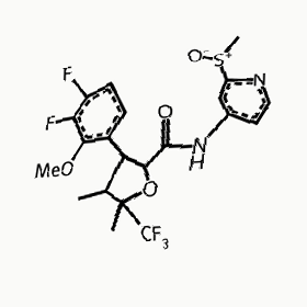 COc1c(C2C(C(=O)Nc3ccnc([S+](C)[O-])c3)OC(C)(C(F)(F)F)C2C)ccc(F)c1F